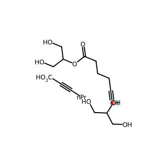 C#CCCCC(=O)OC(CO)CO.CCCC#CC(=O)O.OCC(O)CO